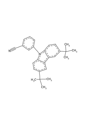 CC(C)(C)c1ccc2c(c1)c1cc(C(C)(C)C)ccc1n2-c1cccc(C#N)c1